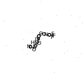 O=C(NC1CCN(C(=O)c2ccncc2)C1)c1cc2cc(OC3CCN(c4ccc(C(F)(F)F)cc4)CC3)ccc2o1